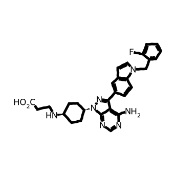 Nc1ncnc2c1c(-c1ccc3c(ccn3Cc3ccccc3F)c1)nn2[C@H]1CC[C@H](NCCC(=O)O)CC1